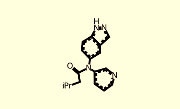 CC(C)CC(=O)N(c1cccnc1)c1ccc2[nH]ncc2c1